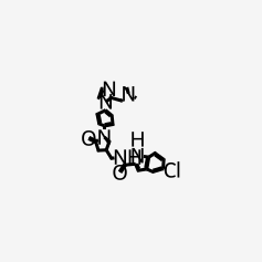 CN(C)Cc1nccn1-c1ccc(N2CC(CNC(=O)c3cc4cc(Cl)ccc4[nH]3)CC2=O)cc1